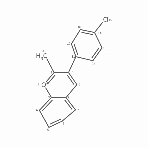 Cc1[o+]c2ccccc2cc1-c1ccc(Cl)cc1